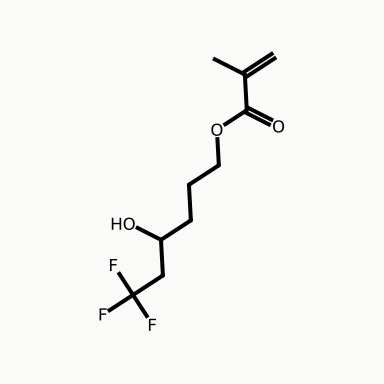 C=C(C)C(=O)OCCCC(O)CC(F)(F)F